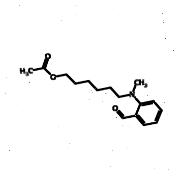 CC(=O)OCCCCCCN(C)c1ccccc1C=O